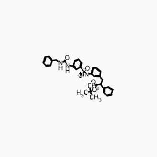 CC(C)(C)OC(=O)C(Cc1cccc(NS(=O)(=O)c2cccc(NC(=O)NCc3ccccc3)c2)c1)c1ccccc1